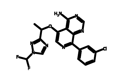 CC(Oc1cnc(-c2cccc(Cl)c2)c2ncnc(N)c12)c1ncn(C(F)F)n1